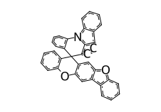 c1ccc2c(c1)Oc1cc3c(cc1C21c2ccccc2-n2c4ccccc4c4cccc1c42)oc1ccccc13